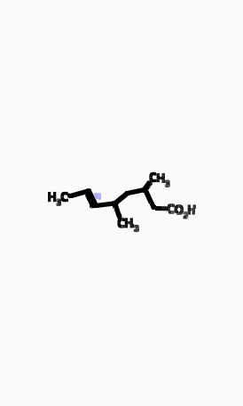 C/C=C/C(C)CC(C)CC(=O)O